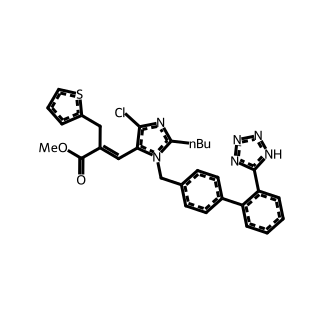 CCCCc1nc(Cl)c(/C=C(\Cc2cccs2)C(=O)OC)n1Cc1ccc(-c2ccccc2-c2nnn[nH]2)cc1